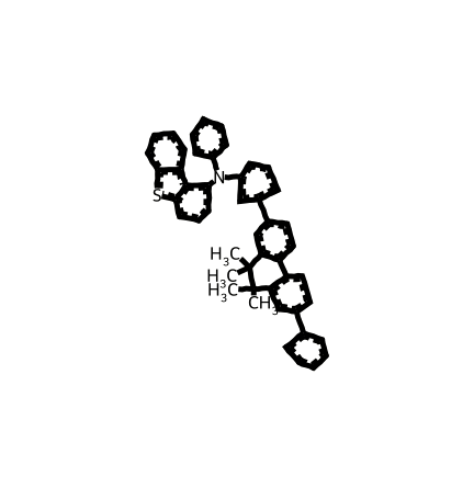 CC1(C)c2cc(-c3ccccc3)ccc2-c2ccc(-c3cccc(N(c4ccccc4)c4cccc5sc6ccccc6c45)c3)cc2C1(C)C